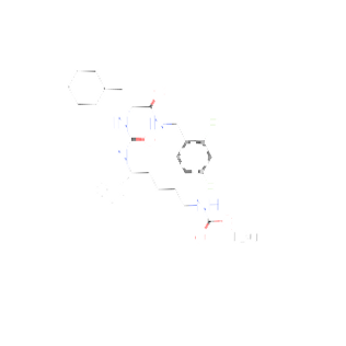 CC(C)(C)OC(=O)NCCCC[C@H](NC(=O)N[C@H](CC1CCCCC1)C(=O)NCc1ccc(F)cc1F)C(=O)O